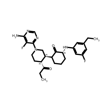 CCC(=O)[C@@H]1CCN(c2ncnc(N)c2F)C[C@H]1C1CCC[C@@H](Nc2cc(F)cc(CC)c2)C1=O